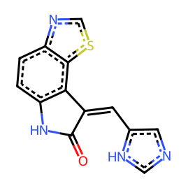 O=C1Nc2ccc3ncsc3c2C1=Cc1cnc[nH]1